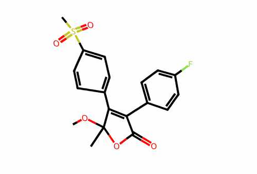 COC1(C)OC(=O)C(c2ccc(F)cc2)=C1c1ccc(S(C)(=O)=O)cc1